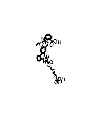 CCOc1nc2cccc(C(=O)O)c2n1Cc1ccc(-c2ccccc2-c2nnn(C(=O)OCCSCCON(O)O)n2)cc1